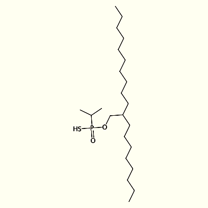 CCCCCCCCCCC(CCCCCCCC)COP(=O)(S)C(C)C